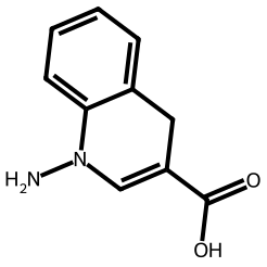 NN1C=C(C(=O)O)Cc2ccccc21